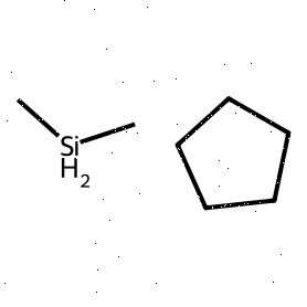 C1CCCC1.C[SiH2]C